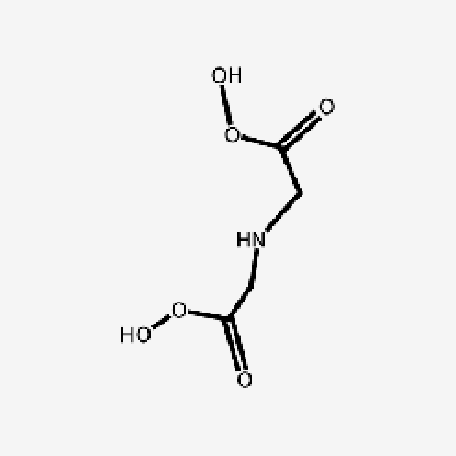 O=C(CNCC(=O)OO)OO